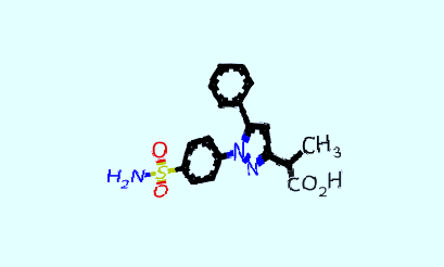 CC(C(=O)O)c1cc(-c2ccccc2)n(-c2ccc(S(N)(=O)=O)cc2)n1